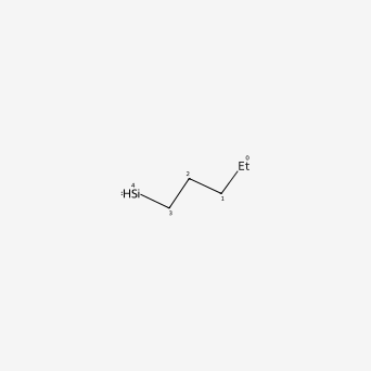 CCCCC[SiH]